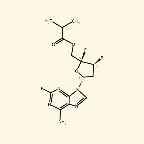 CC(C)C(=O)OC[C@@]1(F)O[C@@H](n2cnc3c(N)nc(F)nc32)C[C@@H]1F